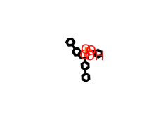 CC(Cc1ccc(-c2ccccc2)cc1)(OP(=O)(O)Oc1ccccc1)c1ccc(-c2ccccc2)cc1